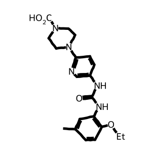 CCOc1ccc(C)cc1NC(=O)Nc1ccc(N2CCN(C(=O)O)CC2)nc1